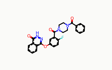 O=C(c1ccccc1)N1CCN(C(=O)c2cc(Oc3n[nH]c(=O)c4ccccc34)ccc2F)CC1